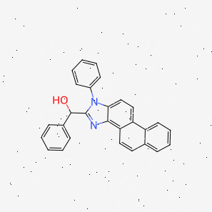 OC(c1ccccc1)c1nc2c3ccc4ccccc4c3ccc2n1-c1ccccc1